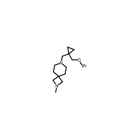 CC(C)OCC1(CN2CCC3(CC2)CN(C)C3)CC1